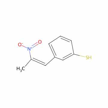 CC(=Cc1cccc(S)c1)[N+](=O)[O-]